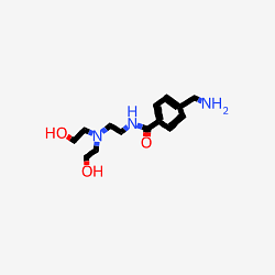 NCc1ccc(C(=O)NCCN(CCO)CCO)cc1